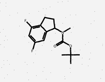 CN(C(=O)OC(C)(C)C)C1CCc2c(F)cc(F)cc21